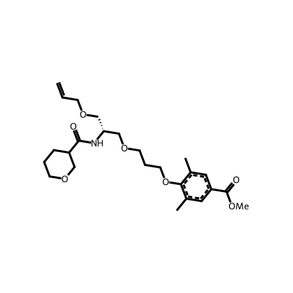 C=CCOC[C@H](COCCCOc1c(C)cc(C(=O)OC)cc1C)NC(=O)C1CCCOC1